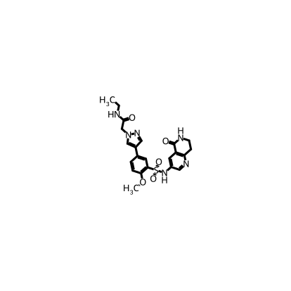 CCNC(=O)Cn1cc(-c2ccc(OC)c(S(=O)(=O)Nc3cnc4c(c3)C(=O)NCC4)c2)cn1